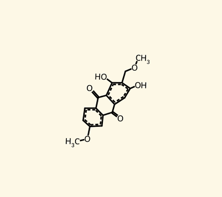 COCc1c(O)cc2c(c1O)C(=O)c1ccc(OC)cc1C2=O